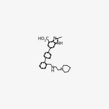 Cc1nc2c(C(=O)O)cc(-c3ccc(-c4ccccc4CNCCN4CCCCC4)cc3)cc2[nH]1